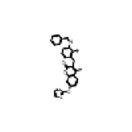 Cc1c(Cc2cccc(/N=C\c3ccccc3)c2F)c(=O)oc2cc(Oc3nccs3)ccc12